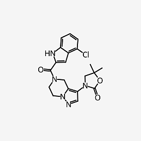 CC1(C)CN(c2cnn3c2CN(C(=O)c2cc4c(Cl)cccc4[nH]2)CC3)C(=O)O1